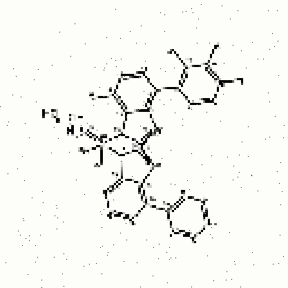 CC1=Cc2c(-c3ccc(C)c(C)c3C)ccc(C)c2[CH]1[Zr]([CH3])([CH3])(=[SiH2])[CH]1C(C(C)C)=Cc2c(-c3ccccc3)cccc21.Cl.Cl